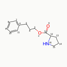 O=C(OCCCc1ccccc1)C1CCCN1